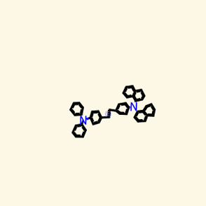 C(=C\c1ccc(N(c2cccc3ccccc23)c2cccc3ccccc23)cc1)/c1ccc(N(c2ccccc2)c2ccccc2)cc1